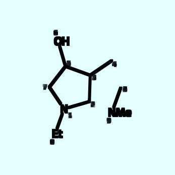 CCN1CC(C)C(O)C1.CNC